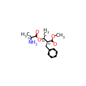 COC(=O)[C@@H](Cc1ccccc1)[C@H](C)OC(=O)[C@H](C)N